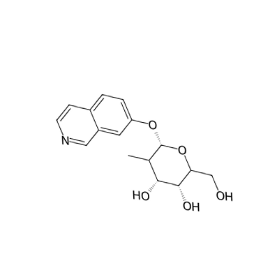 CC1[C@H](Oc2ccc3ccncc3c2)OC(CO)[C@H](O)[C@@H]1O